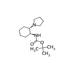 CC(C)(C)OC(=O)N[C@H]1CCCC[C@H]1N1CCCC1